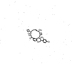 CCCc1cc(Cl)ccc1C1COc2ccc3cc2N(C1)CC1CCC1C(O)/C=C/CCC(C1CCC1)[S+]([O-])NC3=O